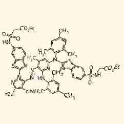 CCOC(=O)CNS(=O)(=O)c1ccc2nc(N(c3cc(C)c(/N=N/c4c(C#N)c(C(C)(C)C)nn4-c4nc5ccc(NS(=O)(=O)CC(=O)OCC)cc5s4)c(Nc4c(C)cc(C)cc4C)n3)c3c(C)cc(C)cc3C)sc2c1